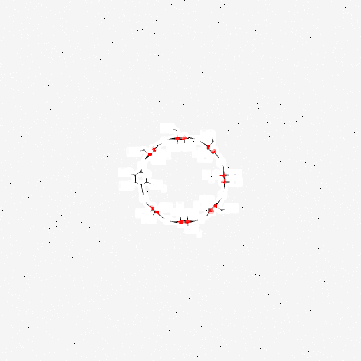 CC1OC2OC3C(C)OC(OC4C(CO)OC(OC5C(CO)OC(OC6C(CO)OC(OC7C(C)OC(OC8C(CO)OC(OC9C(C)OC(OC1C(O)C2O)C(O)C9O)C(O)C8O)C(O)C7O)C(O)C6O)C(O)C5O)C(O)C4O)C(O)C3O